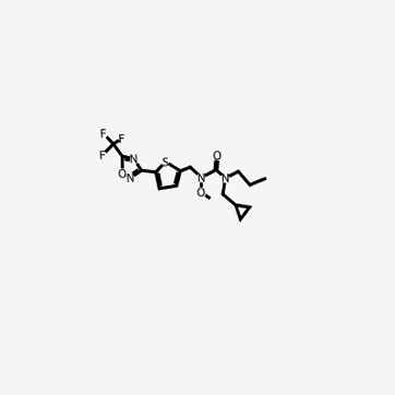 CCCN(CC1CC1)C(=O)N(Cc1ccc(-c2noc(C(F)(F)F)n2)s1)OC